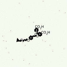 O=C(O)c1ccc(OCCCc2ccc(OCCCCOCC3CC3)cc2)c(C(=O)N2CCC(C(=O)O)CC2)c1